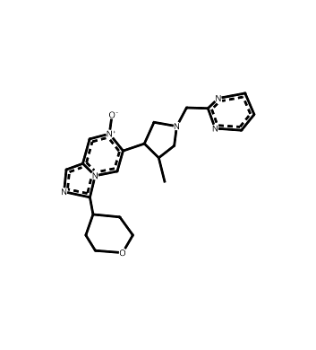 CC1CN(Cc2ncccn2)CC1c1cn2c(C3CCOCC3)ncc2c[n+]1[O-]